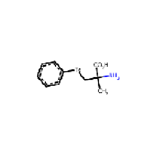 CC(N)(C[Te]c1ccccc1)C(=O)O